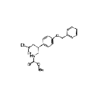 CCN(CC)CC(CNC(=O)OC(C)(C)C)c1ccc(OCc2ccccc2)cc1